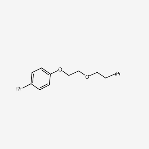 CC(C)CCOCCOc1ccc(C(C)C)cc1